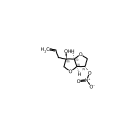 C=CC[C@@]1(O)CO[C@@H]2[C@@H](O[N+](=O)[O-])CO[C@@H]21